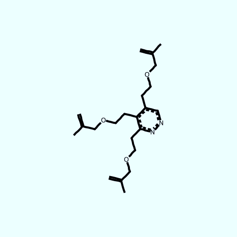 C=C(C)COCCc1cnnc(CCOCC(=C)C)c1CCOCC(=C)C